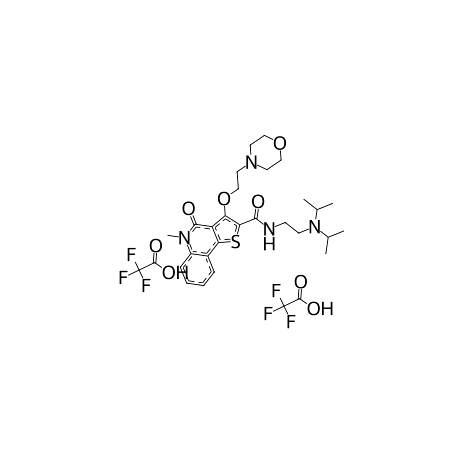 CC(C)N(CCNC(=O)c1sc2c(c1OCCN1CCOCC1)c(=O)n(C)c1ccccc21)C(C)C.O=C(O)C(F)(F)F.O=C(O)C(F)(F)F